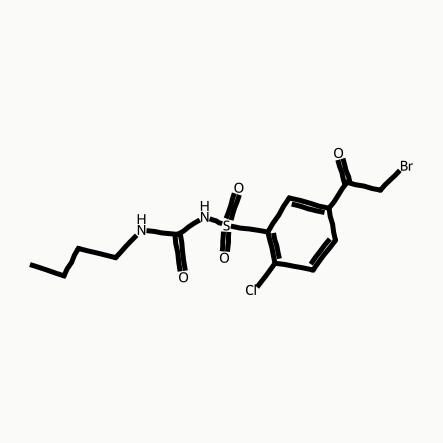 CCCCNC(=O)NS(=O)(=O)c1cc(C(=O)CBr)ccc1Cl